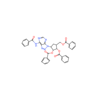 O=C(Nc1ncnc2c1nnn2C1CC(COC(=O)c2ccccc2)C(OC(=O)c2ccccc2)C1OC(=O)c1ccccc1)c1ccccc1